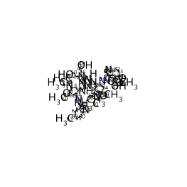 CCN(CC)c1cc(Nc2nc(Nc3cc(N(CC)CC)c(OC)cc3/N=N/c3snc4ccc(OC)c(S(=O)(=O)O)c34)nc(N(CCO)CCO)n2)c(/N=N/c2snc3ccc(C)cc23)cc1OC